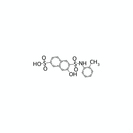 Cc1ccccc1NS(=O)(=O)c1cc2ccc(S(=O)(=O)O)cc2cc1O